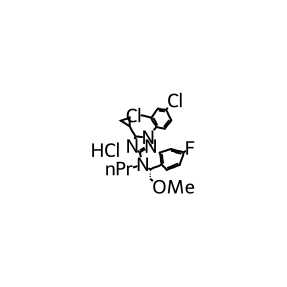 CCCN(c1nc(C2CC2)n(-c2ccc(Cl)cc2Cl)n1)[C@@H](COC)c1ccc(F)cc1.Cl